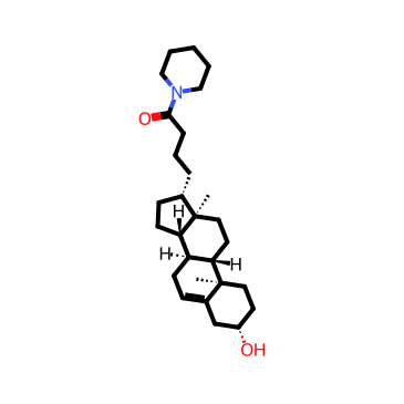 C[C@]12CC[C@H]3[C@@H](CC=C4C[C@@H](O)CC[C@@]43C)[C@@H]1CC[C@@H]2CCCC(=O)N1CCCCC1